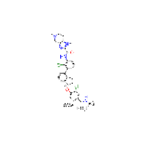 COc1cc(O[C@H]2CCc3c(-c4cccc(NC(=O)c5nc6c(n5C)CCN(C)C6)c4Cl)cccc32)c(Cl)cc1CNC1(C(=O)O)CC1